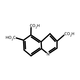 O=C(O)c1cnc2ccc(C(=O)O)c(C(=O)O)c2c1